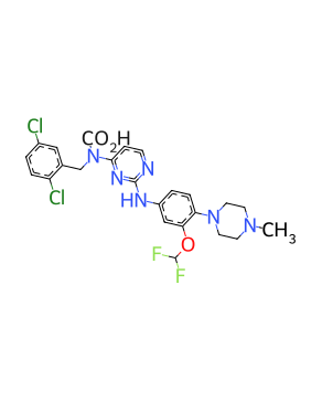 CN1CCN(c2ccc(Nc3nccc(N(Cc4cc(Cl)ccc4Cl)C(=O)O)n3)cc2OC(F)F)CC1